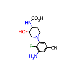 N#Cc1cc(N)c(F)c(N2CC[C@@H](NC(=O)O)[C@H](O)C2)c1